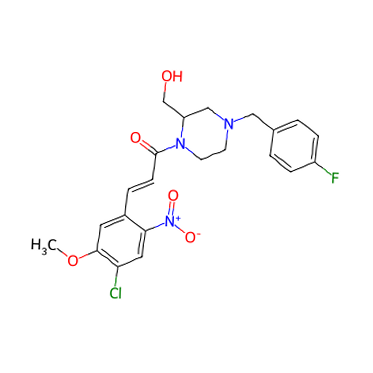 COc1cc(C=CC(=O)N2CCN(Cc3ccc(F)cc3)CC2CO)c([N+](=O)[O-])cc1Cl